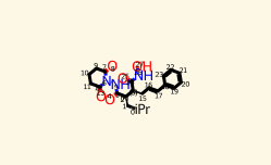 CC(C)C[C@@H](C(=O)NN1C(=O)CCCC1=O)[C@H](CC=Cc1ccccc1)C(=O)NO